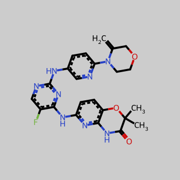 C=C1COCCN1c1ccc(Nc2ncc(F)c(Nc3ccc4c(n3)NC(=O)C(C)(C)O4)n2)cn1